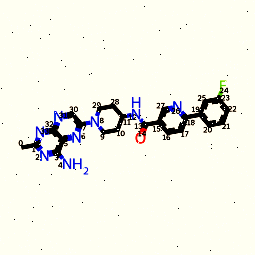 Cc1nc(N)c2nc(N3CCC(NC(=O)c4ccc(-c5cccc(F)c5)nc4)CC3)cnc2n1